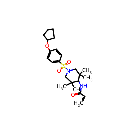 C=CC(=O)NC1C(C)(C)CN(S(=O)(=O)c2ccc(OC3CCCC3)cc2)CC1(C)C